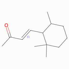 CC(=O)/C=C/C1C(C)CCCC1(C)C